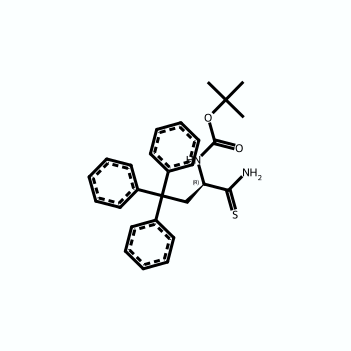 CC(C)(C)OC(=O)N[C@H](CC(c1ccccc1)(c1ccccc1)c1ccccc1)C(N)=S